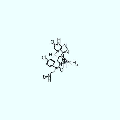 C[C@@H]1[C@H]2[C@@H]1N(c1ncnc3c1[C@H](C)CC(=O)N3)CCN2C(=O)[C@H](CCNC1CC1)c1ccc(Cl)cc1